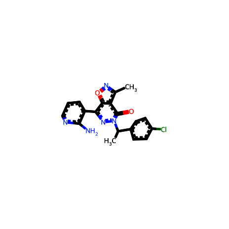 Cc1noc2c(-c3cccnc3N)nn(C(C)c3ccc(Cl)cc3)c(=O)c12